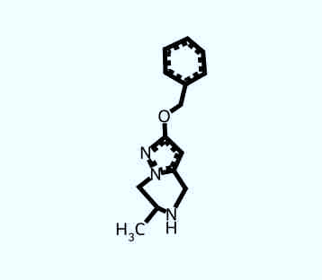 CC1Cn2nc(OCc3ccccc3)cc2CN1